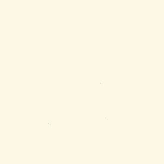 Cn1cc(/C=N/OCc2ccccc2)c2cc(C#N)ccc21